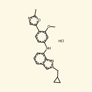 COc1cc(Nc2cccc3cn(CC4CC4)nc23)ccc1-c1cnc(C)o1.Cl